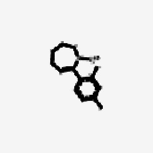 Cc1ccc(C2=CCCCCN2C=O)c(C)c1